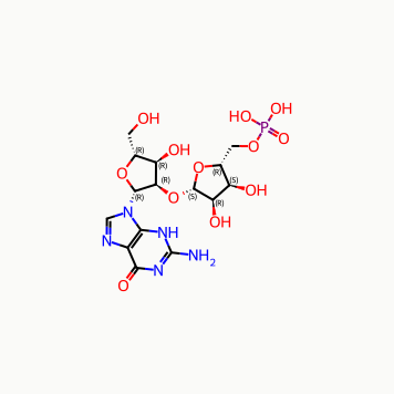 Nc1nc(=O)c2ncn([C@@H]3O[C@H](CO)[C@@H](O)[C@H]3O[C@@H]3O[C@H](COP(=O)(O)O)[C@@H](O)[C@H]3O)c2[nH]1